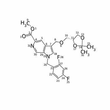 COC(=O)c1cc2c(COC[C@@H]3COC(C)(C)O3)cn(Cc3ccc(F)cc3F)c2cn1